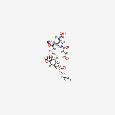 CCCCC(=O)c1cc2c(F)c(OCCC/C(=C\C3=C(C(/F)=C/O)CN(C(=O)CCC=O)C3)OC)c(OC)cc2s1